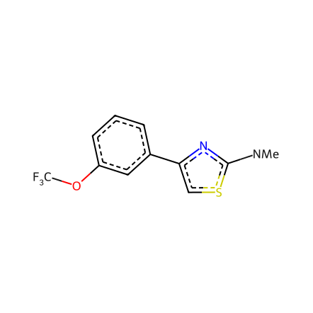 CNc1nc(-c2cccc(OC(F)(F)F)c2)cs1